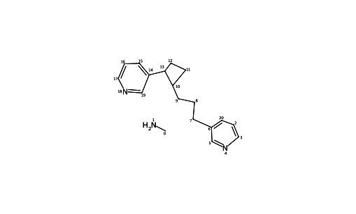 CN.c1cncc(CCCC2CCC2c2cccnc2)c1